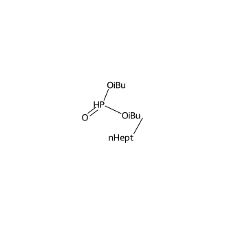 CC(C)CO[PH](=O)OCC(C)C.CCCCCCCC